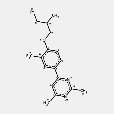 Cc1cc(-c2ccc(OCC(C)CC(C)C)c(C(F)(F)F)c2)nc(C)n1